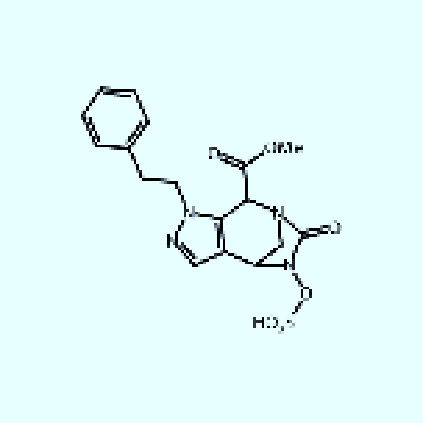 COC(=O)C1c2c(cnn2CCc2ccccc2)C2CN1C(=O)N2OS(=O)(=O)O